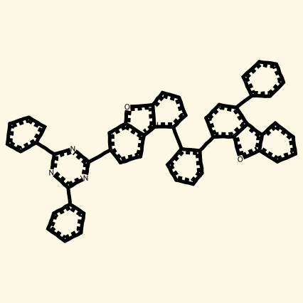 c1ccc(-c2nc(-c3ccccc3)nc(-c3ccc4c(c3)oc3cccc(-c5ccccc5-c5ccc(-c6ccccc6)c6c5oc5ccccc56)c34)n2)cc1